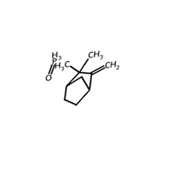 C=C1C2CCC(C2)C1(C)C.O=[PH3]